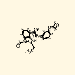 CCCNc1c(NC=O)cccc1C(=O)Nc1cccc(OC2COC2)c1